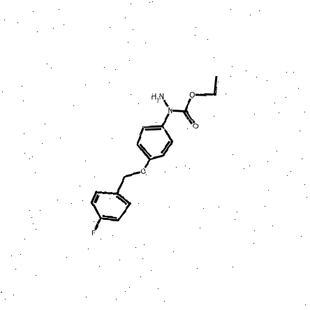 CCOC(=O)N(N)c1ccc(OCc2ccc(F)cc2)cc1